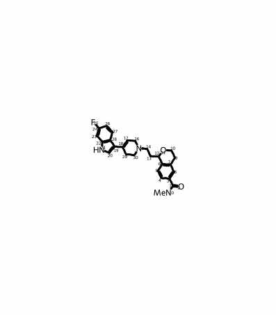 CNC(=O)c1ccc2c(c1)CCOC2CCN1CC=C(c2c[nH]c3cc(F)ccc23)CC1